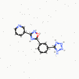 c1cncc(-c2noc(-c3cccc(-c4nnn[nH]4)c3)n2)c1